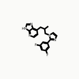 CC(Cc1ccnc2[nH]cnc12)Cn1ccnc1-c1cc(F)cc(F)c1